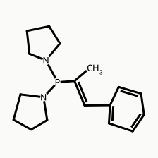 CC(=Cc1ccccc1)P(N1CCCC1)N1CCCC1